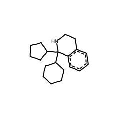 c1ccc2c(c1)CCNC2(C1CCCCC1)C1CCCC1